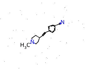 CN1CCC(C#Cc2ccc(C#N)cc2)CC1